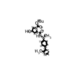 Cc1ncsc1-c1ccc(N(C)NC(=O)[C@@H]2C[C@@H](O)CN2C(=O)OC(C)(C)C)cc1